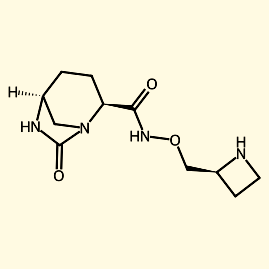 O=C(NOC[C@@H]1CCN1)[C@@H]1CC[C@H]2CN1C(=O)N2